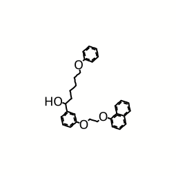 OC(CCCCCOc1ccccc1)c1cccc(OCCOc2cccc3ccccc23)c1